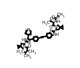 COC(=O)N[C@H](C(=O)N1CC2(CC2)C[C@H]1c1nc2cc(C#Cc3ccc(-c4nc([C@@H]5CC6(CC6)CN5C(=O)[C@@H](C)C(C)C)[nH]c4-c4ccncc4)cc3)ccc2[nH]1)C(C)C